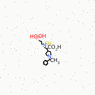 CC(c1ccccc1)N1CCC(C(CN(S)CCCB(O)O)C(=O)O)CC1